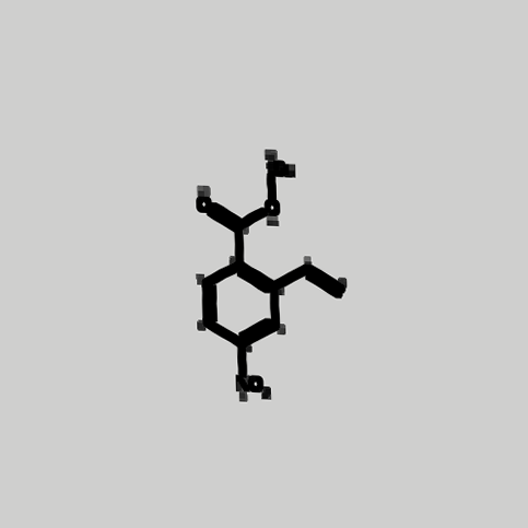 C=Cc1cc([N+](=O)[O-])ccc1C(=O)OC(C)(C)C